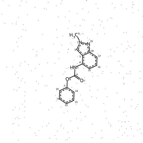 Cn1cc2c(NC(=O)Oc3ccccc3)cccc2n1